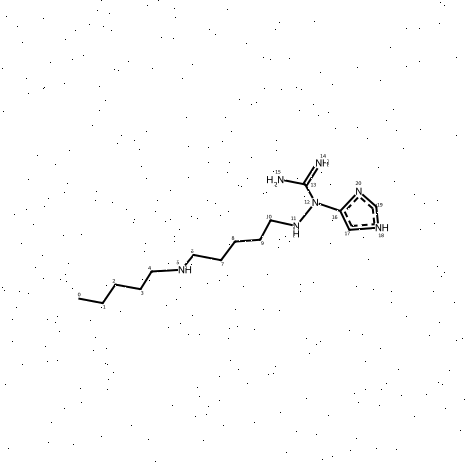 CCCCCNCCCCCNN(C(=N)N)c1c[nH][c]n1